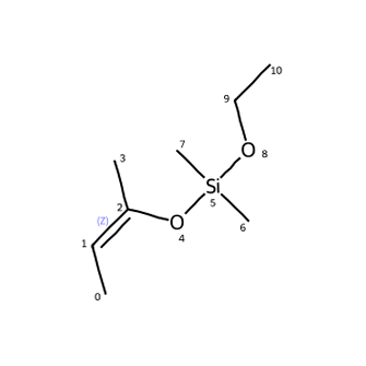 C/C=C(/C)O[Si](C)(C)OCC